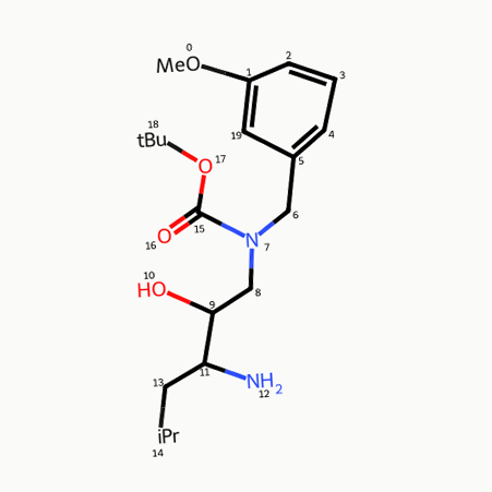 COc1cccc(CN(CC(O)C(N)CC(C)C)C(=O)OC(C)(C)C)c1